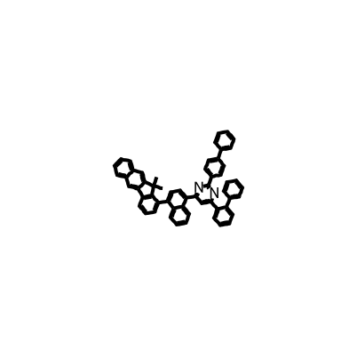 CC1(C)c2cc3ccccc3cc2-c2cccc(-c3ccc(-c4cc(-c5ccccc5-c5ccccc5)nc(-c5ccc(-c6ccccc6)cc5)n4)c4ccccc34)c21